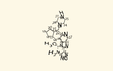 CCn1c(-c2nonc2N)nc2cncc(CC3CCCC3CN3CCNCC3)c21